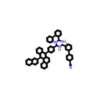 N#Cc1ccc(-c2cccc(CNC(NC(N)c3ccccc3-c3ccccc3)c3ccc(-c4c5ccccc5c(-c5ccc6ccccc6c5)c5c4ccc4ccccc45)cc3)c2)cc1